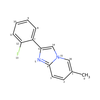 Cc1ccc2nc(-c3ccccc3F)cn2c1